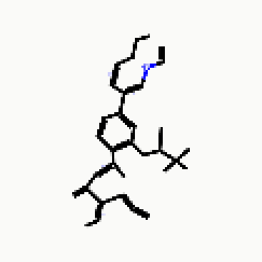 C=C=C/C(=C/C)C(=C)/C=C(\C)c1ccc(C(/C=C\CCC)=C/NC=C)cc1CC(C)C(C)(C)C